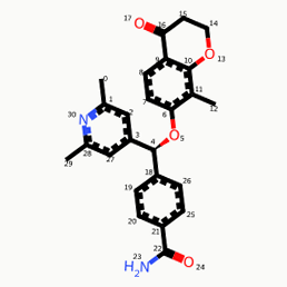 Cc1cc([C@@H](Oc2ccc3c(c2C)OCCC3=O)c2ccc(C(N)=O)cc2)cc(C)n1